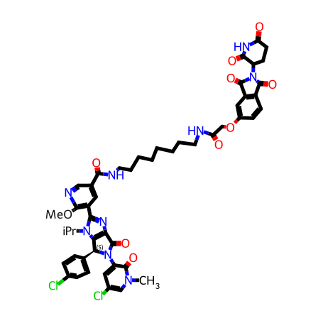 COc1ncc(C(=O)NCCCCCCCCNC(=O)COc2ccc3c(c2)C(=O)N(C2CCC(=O)NC2=O)C3=O)cc1-c1nc2c(n1C(C)C)[C@H](c1ccc(Cl)cc1)N(c1cc(Cl)cn(C)c1=O)C2=O